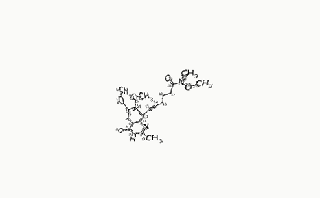 COc1cc2c(=O)[nH]c(C)nc2c(C#CCCCC(=O)N(C)OC)c1OC